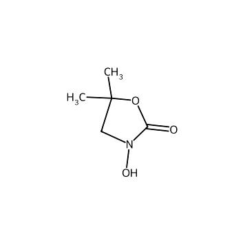 CC1(C)CN(O)C(=O)O1